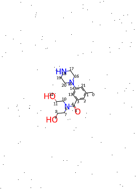 Cc1cc(C(=O)N(CCO)CCO)cc(N2CCNCC2)c1